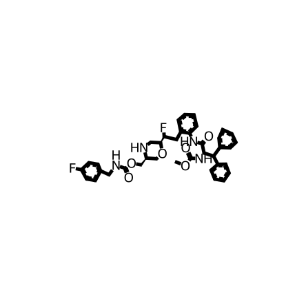 COC(=O)N[C@H](C(=O)Nc1ccccc1CC(F)[C@@H]1CN[C@H](COC(=O)NCc2ccc(F)cc2)CO1)C(c1ccccc1)c1ccccc1